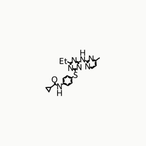 CCc1nc(Nc2nccc(C)n2)nc(Sc2ccc(NC(=O)C3CC3)cc2)n1